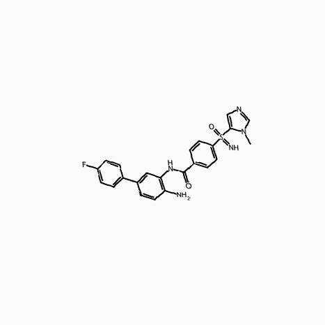 Cn1cncc1S(=N)(=O)c1ccc(C(=O)Nc2cc(-c3ccc(F)cc3)ccc2N)cc1